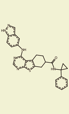 O=C(NC1(c2ccccc2)CC1)C1CCc2c(sc3ncnc(Nc4ccc5[nH]ncc5c4)c23)C1